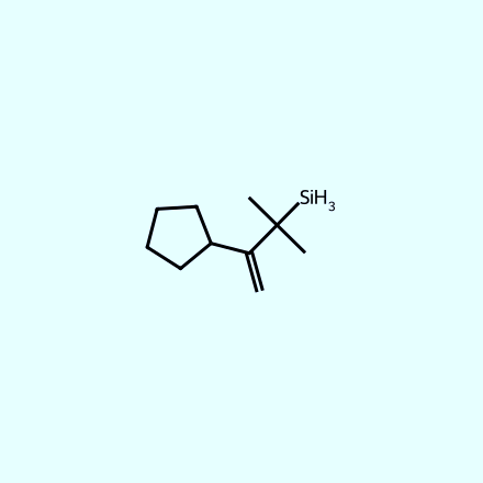 C=C(C1CCCC1)C(C)(C)[SiH3]